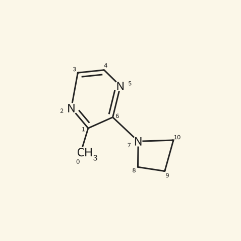 Cc1nccnc1N1CCC1